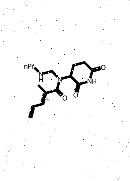 C=C/C=C(\C)C(=O)N(CNCCC)C1CCC(=O)NC1=O